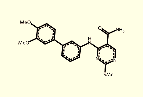 COc1ccc(-c2cccc(Nc3nc(SC)ncc3C(N)=O)c2)cc1OC